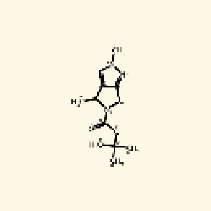 CC1c2cn(C)nc2CN1C(=O)OC(C)(C)C